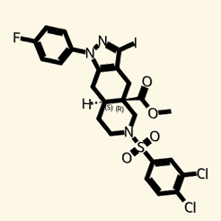 COC(=O)[C@]12Cc3c(I)nn(-c4ccc(F)cc4)c3C[C@@H]1CCN(S(=O)(=O)c1ccc(Cl)c(Cl)c1)C2